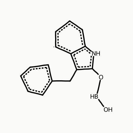 OBOc1[nH]c2ccc[c]c2c1Cc1ccccc1